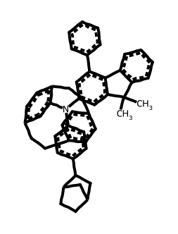 CC1(C)c2ccccc2-c2c(-c3ccccc3)cc(N(c3ccc(C4CC5CCC4C5)cc3)c3cc4ccc3CCc3ccc(cc3)CC4)cc21